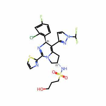 O=S(=O)(CCCO)N[C@H]1CC2=C(c3ccn(C(F)F)n3)[C@H](c3ccc(F)cc3Cl)N=C(c3nccs3)N2C1